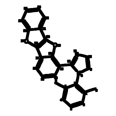 Cc1cccc(C)c1-n1ccnc1-c1cccc2c1oc1c3ccccc3oc21